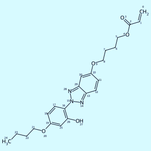 C=CC(=O)OCCCCOc1ccc2nn(-c3ccc(OCCCC)cc3O)nc2c1